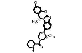 C[C@@H]1CN(C(=O)C2CCCCN2)CCN1c1ccc2ncn([C@H](C)c3ccc(Cl)cc3Cl)c2c1